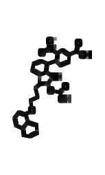 O=C(O)Oc1[nH]c2c(-c3ccc(C(=O)O)cc3[N+](=O)[O-])cccc2c1CCCOc1cccc2ccccc12